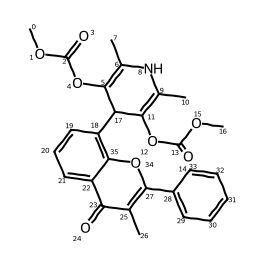 COC(=O)OC1=C(C)NC(C)=C(OC(=O)OC)C1c1cccc2c(=O)c(C)c(-c3ccccc3)oc12